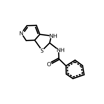 O=C(NC1NC2=CC=NCC2S1)c1ccccc1